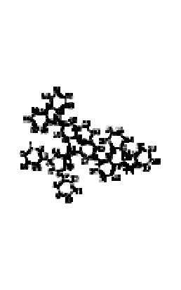 c1ccc(-c2cc(-c3ccccc3)nc(-n3c4cc(-c5cccc(-c6nc7ccccc7n6-c6ccccc6)c5)cc5c4c4c(cc(-n6c7ccccc7c7ccccc76)cc43)CC5)c2)cc1